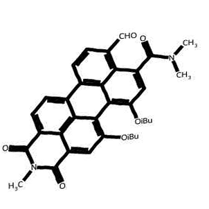 CC(C)COc1cc(C(=O)N(C)C)c2c(C=O)ccc3c4ccc5c6c(cc(OCC(C)C)c(c1c23)c64)C(=O)N(C)C5=O